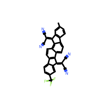 Cc1ccc2c(c1)C(=C(C#N)C#N)c1c-2ccc2c3c(ccc12)-c1ccc(C(F)(F)F)cc1C3=C(C#N)C#N